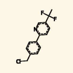 CC(F)(F)c1ccc(-c2ccc(CCl)cc2)nc1